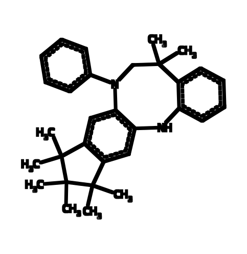 CC1(C)CN(c2ccccc2)c2cc3c(cc2Nc2ccccc21)C(C)(C)C(C)(C)C3(C)C